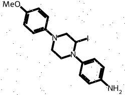 COc1ccc(N2CCN(c3ccc(N)cc3)C(I)C2)cc1